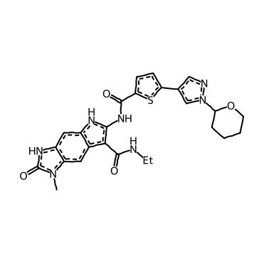 CCNC(=O)c1c(NC(=O)c2ccc(-c3cnn(C4CCCCO4)c3)s2)[nH]c2cc3[nH]c(=O)n(C)c3cc12